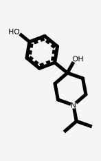 CC(C)N1CCC(O)(c2ccc(O)cc2)CC1